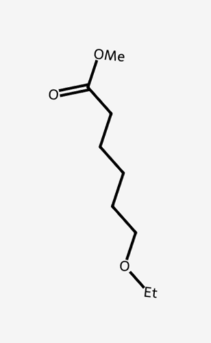 CCOCCCCCC(=O)OC